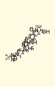 CC(C)c1noc(N2CCC(n3cc(F)c4c(Nc5ccc(C(=O)N6CC[C@@H](O)C6)cc5F)ncnc43)CC2)n1